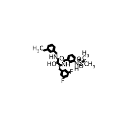 CCc1cccc(CNC[C@H](O)[C@H](Cc2cc(F)cc(F)c2)NC(=O)c2cccc(NS(=O)(=O)C(C)C)c2)c1